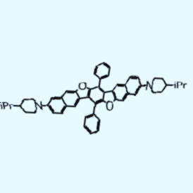 CC(C)C1CCN(c2ccc3cc4c(cc3c2)oc2c(-c3ccccc3)c3c(oc5cc6cc(N7CCC(C(C)C)CC7)ccc6cc53)c(-c3ccccc3)c24)CC1